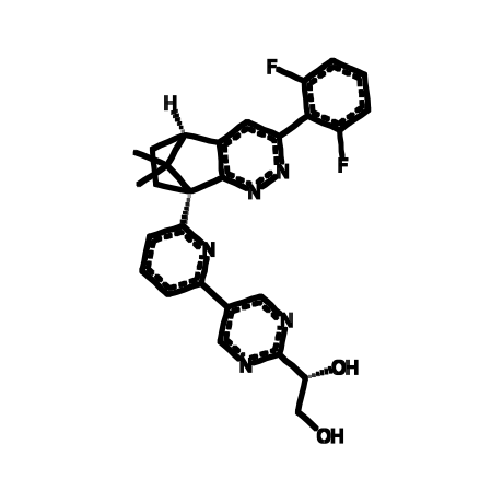 CC1(C)[C@H]2CC[C@]1(c1cccc(-c3cnc([C@H](O)CO)nc3)n1)c1nnc(-c3c(F)cccc3F)cc12